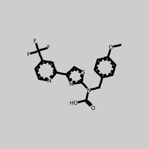 COc1ccc(CN(C(=O)O)c2nc(-c3cc(C(F)(F)F)ccn3)cs2)cc1